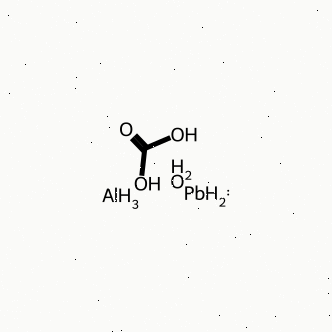 O.O=C(O)O.[AlH3].[PbH2]